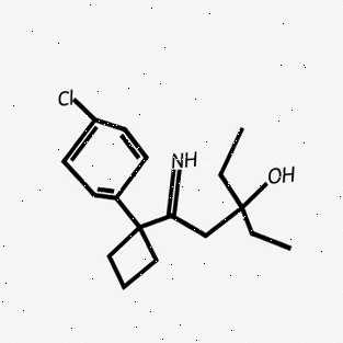 CCC(O)(CC)CC(=N)C1(c2ccc(Cl)cc2)CCC1